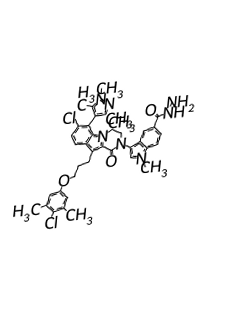 Cc1cc(OCCCc2c3n(c4c(-c5c(C)nn(C)c5C)c(Cl)ccc24)C(C)CN(c2cn(C)c4ccc(C(=O)NN)cc24)C3=O)cc(C)c1Cl